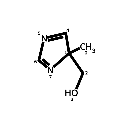 CC1(CO)C=NC=N1